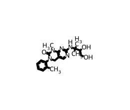 Cc1ccccc1N1Cc2cnc(NC(C)(C)C(O)CO)nc2N(C)C1=O